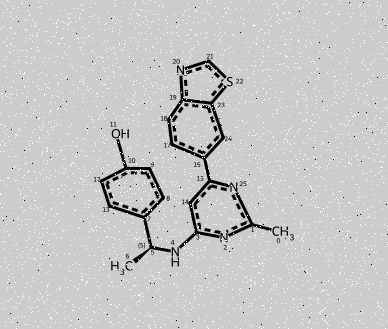 Cc1nc(N[C@@H](C)c2ccc(O)cc2)cc(-c2ccc3ncsc3c2)n1